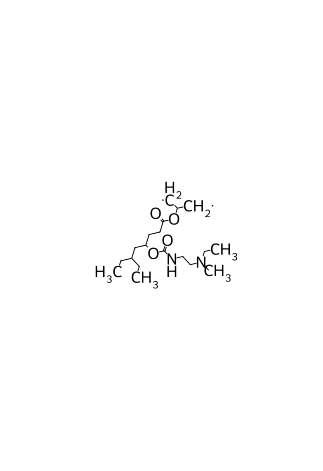 [CH2]C([CH2])OC(=O)CCC(CC(CC)CC)OC(=O)NCCN(C)CC